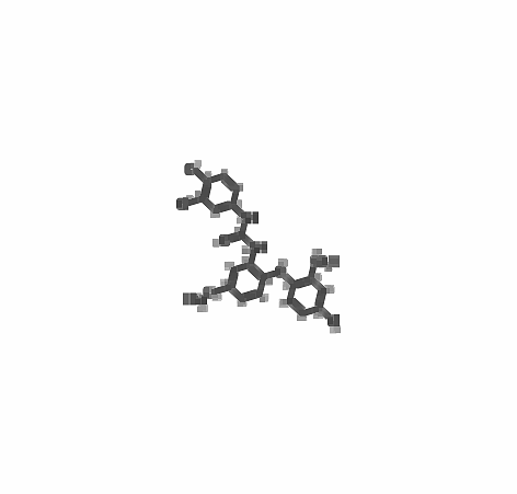 O=C(Nc1ccc(Cl)c(Cl)c1)Nc1cc(Cl)ccc1Oc1ccc(Cl)cc1S(=O)(=O)O.[NaH]